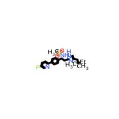 CCC(C)(C)Cc1c[nH]c(CC(NS(C)(=O)=O)c2ccc(-c3ccc(F)cn3)cc2)n1